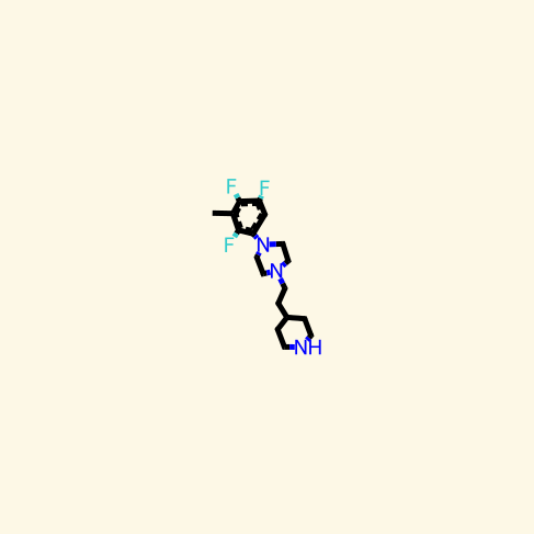 Cc1c(F)c(F)cc(N2CCN(CCC3CCNCC3)CC2)c1F